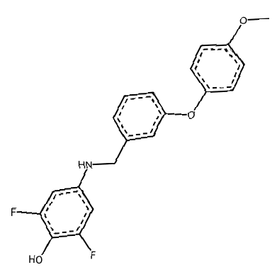 COc1ccc(Oc2cccc(CNc3cc(F)c(O)c(F)c3)c2)cc1